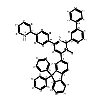 CN1C(c2ccc3c(c2)C(c2ccccc2)(c2ccccc2)c2ccccc2-3)=CC(c2ccc(C3C=CC=CN3)cc2)=NC1c1cccc(-c2ccccc2)c1